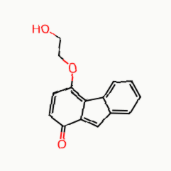 O=C1C=CC(OCCO)=C2C1=Cc1ccccc12